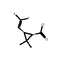 CC1(C)[C@H](C(=O)Cl)[C@@H]1C=C(F)F